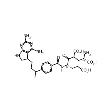 CC(CCC1CNc2nc(N)nc(N)c21)c1ccc(C(=O)N[C@@H](CCC(=O)O)C(=O)C(C[C@H](N)C(=O)O)C(=O)O)cc1